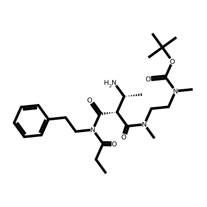 CCC(=O)N(CCc1ccccc1)C(=O)[C@@H](C(=O)N(C)CCN(C)C(=O)OC(C)(C)C)[C@@H](C)N